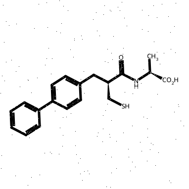 C[C@H](NC(=O)[C@@H](CS)Cc1ccc(-c2ccccc2)cc1)C(=O)O